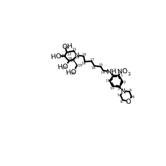 O=[N+]([O-])c1cc(N2CCOCC2)ccc1NCCCCCCN1CC(O)C(O)C(O)[C@@H]1CO